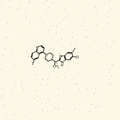 C[C@H](c1nc2cc(F)c(Cl)cc2[nH]1)N1CCN(c2ccnc3ccc(F)cc23)CC1